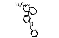 CN1CCC2(c3cccc(OCc4ccccc4)c3)CCCCC2=N1